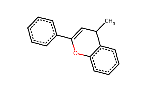 CC1C=C(c2ccccc2)Oc2ccccc21